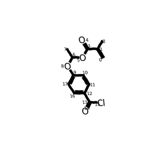 C=C(C)C(=O)OC(C)Oc1ccc(C(=O)Cl)cc1